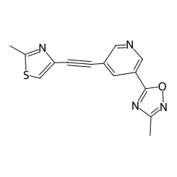 Cc1noc(-c2cncc(C#Cc3csc(C)n3)c2)n1